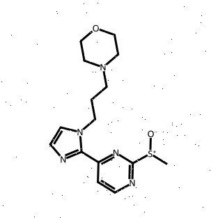 C[S+]([O-])c1nccc(-c2nccn2CCCN2CCOCC2)n1